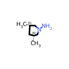 C[C@@H]1C[C@H](C)CN(N)C1